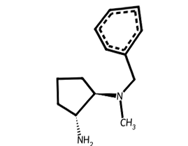 CN(Cc1ccccc1)[C@@H]1CCC[C@H]1N